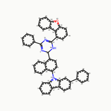 c1ccc(C2=NC(c3ccc(-n4c5ccccc5c5ccc(-c6ccccc6)cc54)c4ccccc34)NC(c3cccc4oc5ccccc5c34)=N2)cc1